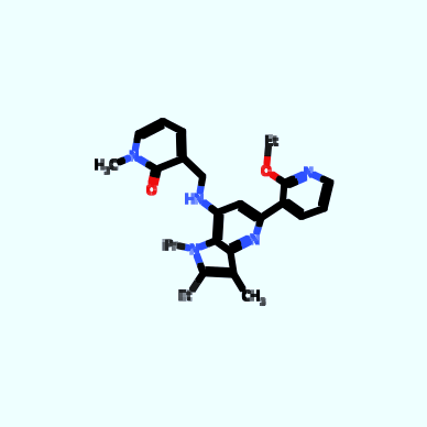 CCOc1ncccc1-c1cc(NCc2cccn(C)c2=O)c2c(n1)c(C)c(CC)n2C(C)C